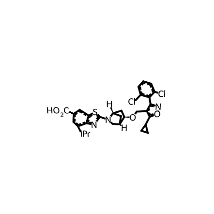 CC(C)c1cc(C(=O)O)cc2sc(N3C[C@@H]4C[C@H]3C[C@H]4OCc3c(-c4c(Cl)cccc4Cl)noc3C3CC3)nc12